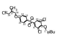 CC[C@@H](C)COc1c(Cl)cc(S(=O)(=O)c2ccc(OC[C@H](C)CCl)cc2)cc1Cl